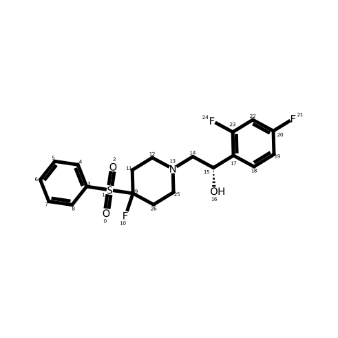 O=S(=O)(c1ccccc1)C1(F)CCN(C[C@@H](O)c2ccc(F)cc2F)CC1